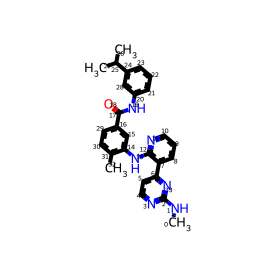 CNc1nccc(-c2cccnc2Nc2cc(C(=O)Nc3cccc(C(C)C)c3)ccc2C)n1